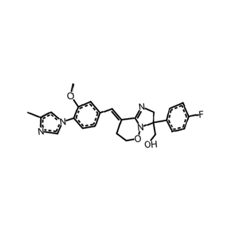 COc1cc(/C=C2\CCON3C2=NCC3(CO)c2ccc(F)cc2)ccc1-n1cnc(C)c1